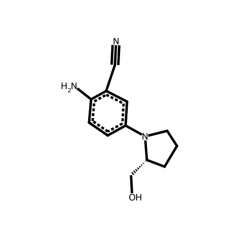 N#Cc1cc(N2CCC[C@@H]2CO)ccc1N